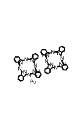 [Pu].c1ccc2c(c1)-c1nc-2nc2[nH]c(nc3nc(nc4[nH]c(n1)c1ccccc41)-c1ccccc1-3)c1ccccc21.c1ccc2c(c1)-c1nc-2nc2[nH]c(nc3nc(nc4[nH]c(n1)c1ccccc41)-c1ccccc1-3)c1ccccc21